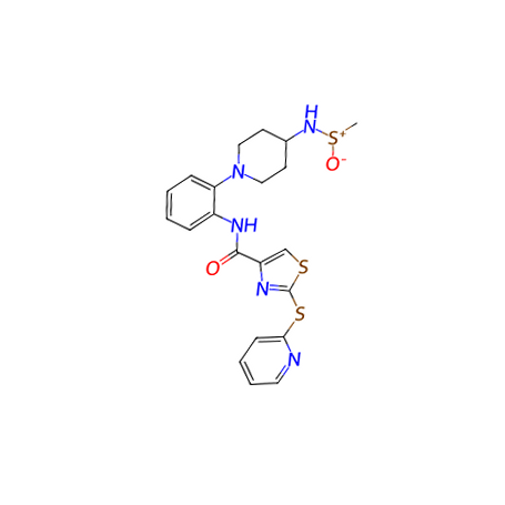 C[S+]([O-])NC1CCN(c2ccccc2NC(=O)c2csc(Sc3ccccn3)n2)CC1